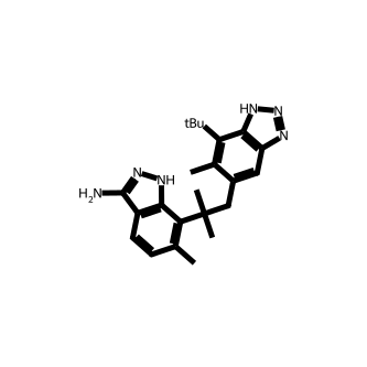 Cc1ccc2c(N)n[nH]c2c1C(C)(C)Cc1cc2nn[nH]c2c(C(C)(C)C)c1C